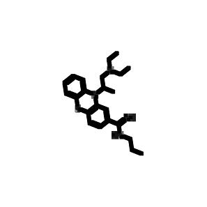 CCCNC(=N)c1ccc2c(c1)N(C(C)CN(CC)CC)c1ccccc1S2